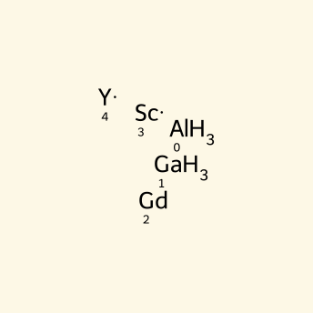 [AlH3].[GaH3].[Gd].[Sc].[Y]